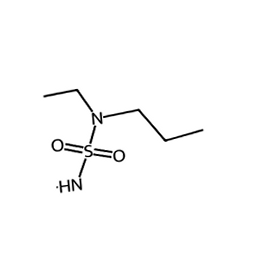 CCCN(CC)S([NH])(=O)=O